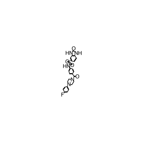 O=C(c1ccc(NS(=O)(=O)c2ccc3[nH]c(=O)[nH]c3c2)cc1)N1CCN(c2ccc(F)cc2)CC1